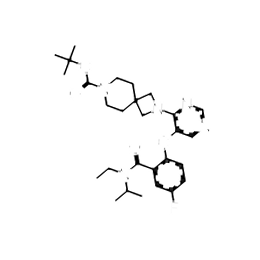 CCN(C(=O)c1cc(F)ccc1Oc1cncnc1N1CC2(CCN(C(=O)OC(C)(C)C)CC2)C1)C(C)C